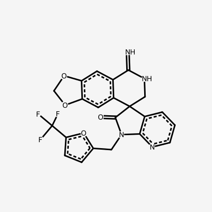 N=C1NCC2(C(=O)N(Cc3ccc(C(F)(F)F)o3)c3ncccc32)c2cc3c(cc21)OCO3